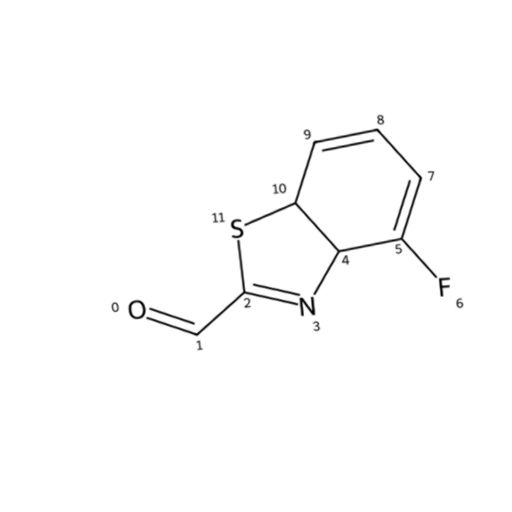 O=CC1=NC2C(F)=CC=CC2S1